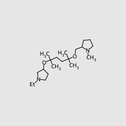 CCN1CCC(OC(C)(C)CCC(C)(C)OCC2CCCN2C)C1